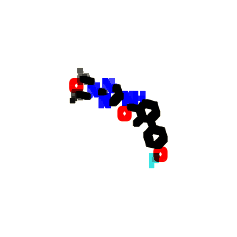 Cc1c(C(=O)Nc2cnc(N3C[C@@H](C)O[C@@H](C)C3)nc2)cccc1-c1ccc(OF)cc1